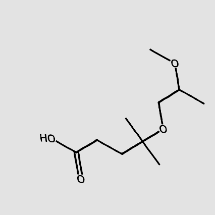 COC(C)COC(C)(C)CCC(=O)O